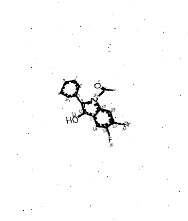 CC(=O)n1c(-c2ccccc2)c(O)c2cc(F)c(Br)cc21